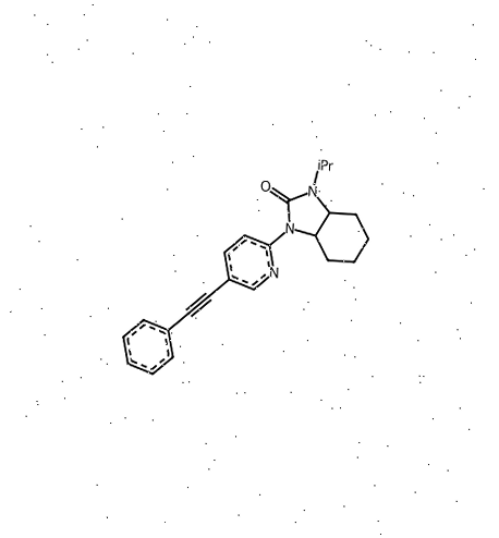 CC(C)N1C(=O)N(c2ccc(C#Cc3ccccc3)cn2)C2CCCCC21